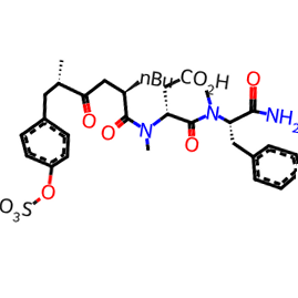 CCCC[C@H](CC(=O)[C@@H](C)Cc1ccc(OS(=O)(=O)O)cc1)C(=O)N(C)[C@H](CC(=O)O)C(=O)N(C)[C@@H](Cc1ccccc1)C(N)=O